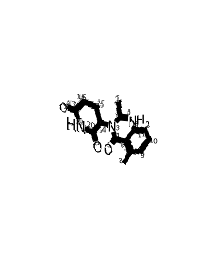 C=C(C)N(C(=O)c1c(C)cccc1N)C1CCC(=O)NC1=O